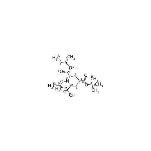 CCC(C)OC(=O)C1CN(C(=O)OC(C)(C)C)C[C@@H](C(=O)O)N1CC(C)C